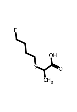 CC(SCCCCF)C(=O)O